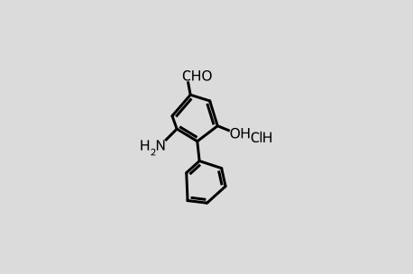 Cl.Nc1cc(C=O)cc(O)c1-c1ccccc1